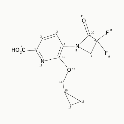 O=C(O)c1ccc(N2CC(F)(F)C2=O)c(OCC2CC2)n1